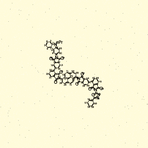 CCCn1c2ccccc2c2cc(N3C(=O)c4ccc(-c5cccc6c5C(=O)N(c5ccc7ccc8c(N9C(=O)c%10ccc(-c%11cccc%12c%11C(=O)N(c%11nnc(-c%13ccccc%13)o%11)C%12=O)cc%10C9=O)ccc9ccc5c7c98)C6=O)cc4C3=O)ccc21